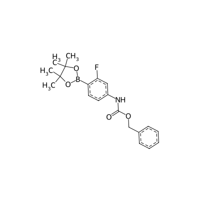 CC1(C)OB(c2ccc(NC(=O)OCc3ccccc3)cc2F)OC1(C)C